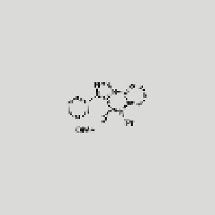 COc1cccc(-c2ncn3c2c(=O)n(C(C)C)c2ccccc23)c1